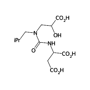 CC(C)CN(CC(O)C(=O)O)C(=O)NC(CC(=O)O)C(=O)O